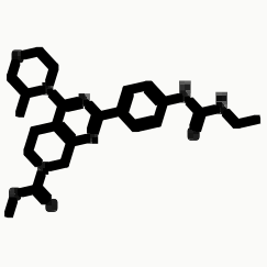 CCNC(=O)Nc1ccc(-c2nc3c(c(N4CCOCC4C)n2)CCN(C(=O)OC)C3)cc1